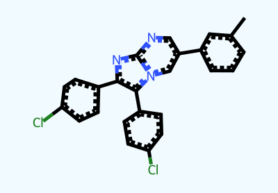 Cc1cccc(-c2cnc3nc(-c4ccc(Cl)cc4)c(-c4ccc(Cl)cc4)n3c2)c1